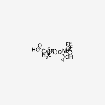 C[C@@H]1CC2CC(OC/C(C(=N)c3ccccc3OC(F)(F)F)=C(/O)C3CC3)CC1N2c1nc2ccc(C(=O)O)cc2s1